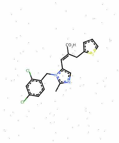 Cc1ncc(/C=C(\Cc2cccs2)C(=O)O)n1Cc1ccc(Cl)cc1Cl